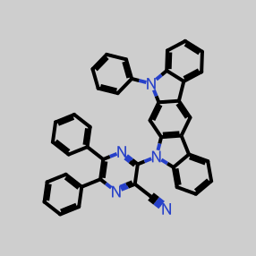 N#Cc1nc(-c2ccccc2)c(-c2ccccc2)nc1-n1c2ccccc2c2cc3c4ccccc4n(-c4ccccc4)c3cc21